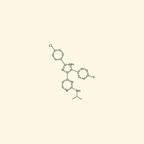 CC(C)Nc1nccc(-c2nc(-c3ccc(Cl)cc3)[nH]c2-c2ccc(F)cc2)n1